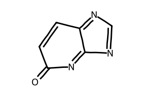 O=C1C=CC2=NC=NC2=N1